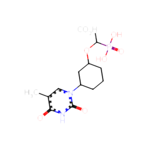 Cc1cn(C2CCCC(OC(C(=O)O)P(=O)(O)O)C2)c(=O)[nH]c1=O